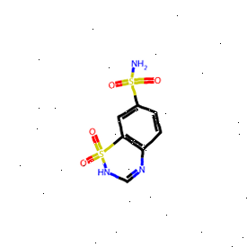 NS(=O)(=O)c1ccc2c(c1)S(=O)(=O)NC=N2